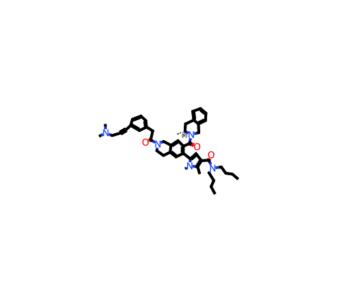 CCCCN(CCCC)C(=O)c1cc(-c2cc3c(cc2C(=O)N2Cc4ccccc4C[C@H]2C)CN(C(=O)Cc2cccc(C#CCN(C)C)c2)CC3)n(C)c1C